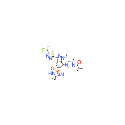 CCn1nc(-c2nnc(C(F)F)s2)c2cc(S(=O)(=O)NC3(C#N)CC3)cc(N3CCN(C(=O)C(C)C)[C@H](C)C3)c21